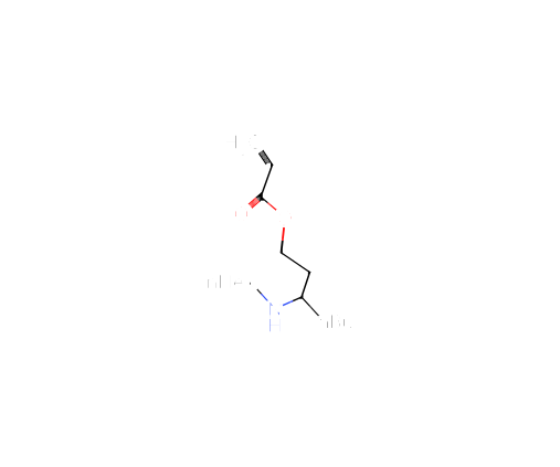 C=CC(=O)OCCC(CCCC)NCCCCCC